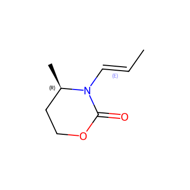 C/C=C/N1C(=O)OCC[C@H]1C